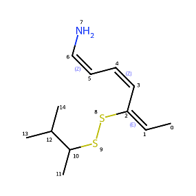 C\C=C(/C=C\C=C/N)SSC(C)C(C)C